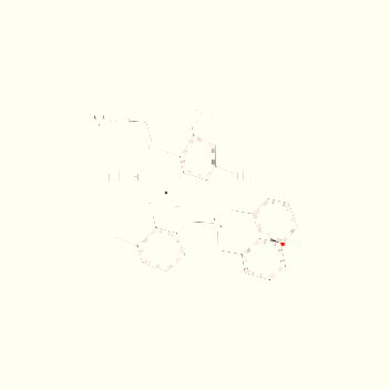 CCCCCC(CC)(Pc1c(C)cccc1CN(Cc1ccccc1)Cc1ccccc1)c1cc(C(C)(C)C)cc(C(C)(C)C)c1OCOC